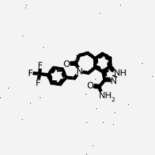 NC(=O)c1n[nH]c2ccc3c(c12)CN(Cc1ccc(C(F)(F)F)cc1)C(=O)[CH]C3